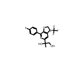 CC(O)(CO)c1cc2c(c(-c3ccc(F)cc3)n1)OC[C@H]2C(F)(F)F